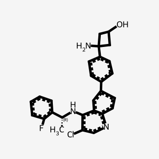 C[C@@H](Nc1c(Cl)cnc2ccc(-c3ccc(C4(N)CC(O)C4)cc3)cc12)c1ccccc1F